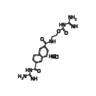 Cl.Cl.N=C(N)NC(=O)OCCNC(=O)c1ccc2cc(C(=O)NC(=N)N)ccc2c1